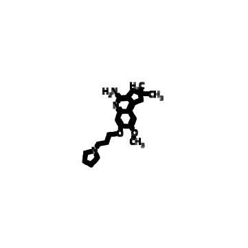 COc1cc2c3c(c(N)nc2cc1OCCCN1CCCC1)CC(C)(C)C3